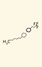 CCCCCCC[C@H]1CC[C@H](c2ccc(CCC(F)(F)F)cc2)CC1